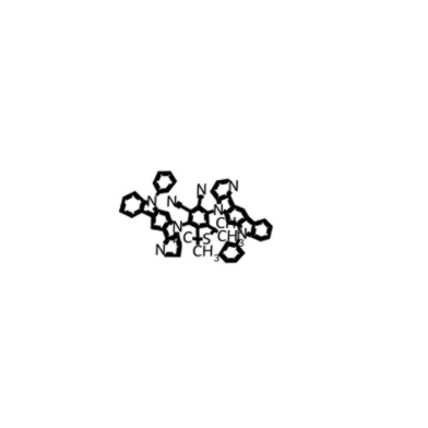 CC1(C)SC(C)(C)c2c(-n3c4cc5c(cc4c4ncccc43)c3ccccc3n5-c3ccccc3)c(C#N)c(C#N)c(-n3c4cc5c(cc4c4ncccc43)c3ccccc3n5-c3ccccc3)c21